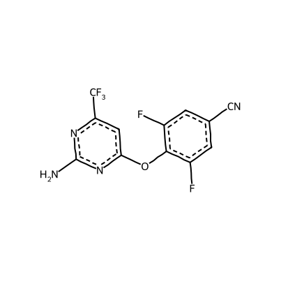 N#Cc1cc(F)c(Oc2cc(C(F)(F)F)nc(N)n2)c(F)c1